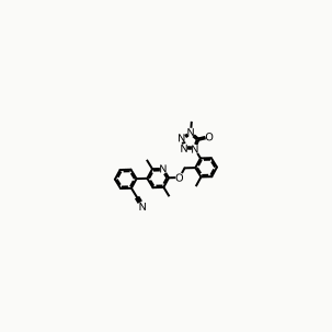 Cc1cc(-c2ccccc2C#N)c(C)nc1OCc1c(C)cccc1-n1nnn(C)c1=O